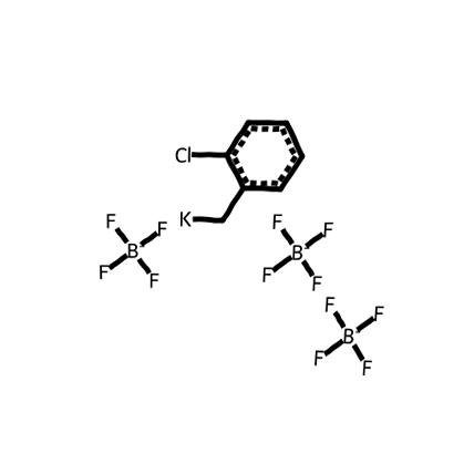 Clc1ccccc1[CH2][K].F[B-](F)(F)F.F[B-](F)(F)F.F[B-](F)(F)F